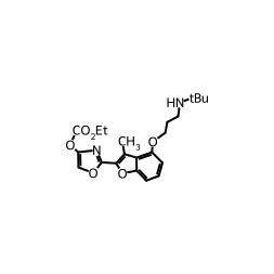 CCOC(=O)Oc1coc(-c2oc3cccc(OCCCNC(C)(C)C)c3c2C)n1